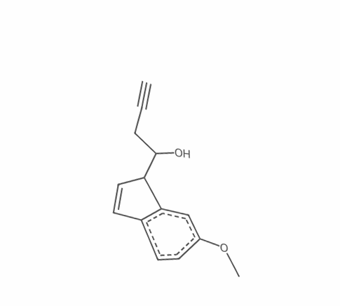 C#CCC(O)C1C=Cc2ccc(OC)cc21